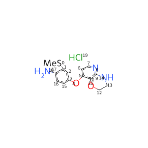 CSc1cc(Oc2ccnc3c2OCCN3)ccc1N.Cl